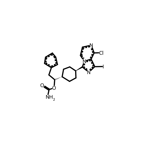 NC(=O)OC(Cc1ccccc1)[C@H]1CC[C@H](c2nc(I)c3c(Cl)nccn32)CC1